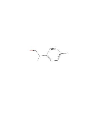 NC(CO)c1ccc([N+](=O)[O-])cc1